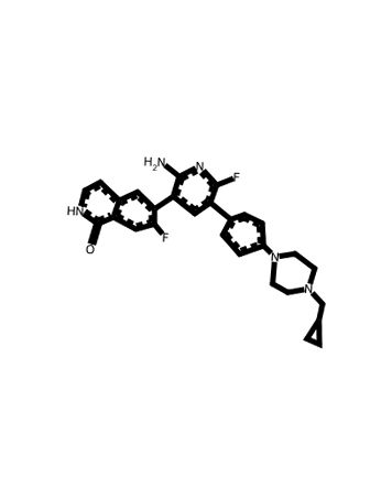 Nc1nc(F)c(-c2ccc(N3CCN(CC4CC4)CC3)cc2)cc1-c1cc2cc[nH]c(=O)c2cc1F